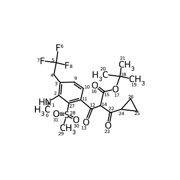 CNc1c(CC(F)(F)F)ccc(C(=O)C(C(=O)OC(C)(C)C)C(=O)C2CC2)c1S(C)(=O)=O